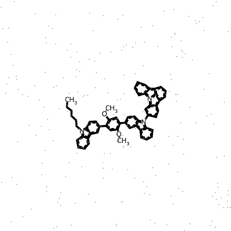 CCCCCCn1c2ccccc2c2cc(-c3cc(OC)c(-c4ccc5c(c4)c4ccccc4n5-c4ccc5c6cccc7c8ccccc8n(c5c4)c76)cc3OC)ccc21